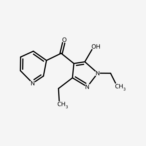 CCc1nn(CC)c(O)c1C(=O)c1cccnc1